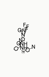 C[C@H](CNC(C(=O)Nc1ccc(N2CCN(CC(F)(F)F)C(=O)C2)cn1)c1ccccc1)c1ccc(C#N)cc1